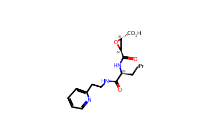 CC(C)C[C@H](NC(=O)[C@H]1O[C@@H]1C(=O)O)C(=O)NCCc1ccccn1